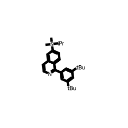 CC(C)S(C)(C)c1ccc2c(-c3cc(C(C)(C)C)cc(C(C)(C)C)c3)nccc2c1